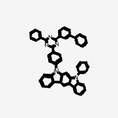 c1ccc(-c2cccc(-c3nc(-c4ccccc4)nc(-c4ccc(-n5c6ccccc6c6cc7c8ccccc8n(-c8ccccc8)c7cc65)cc4)n3)c2)cc1